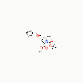 C=C[C@@H]1[C@@H](COCc2ccccc2)C[C@@H](C(=O)OCC)N1C(=O)OC(C)(C)C